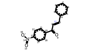 O=C(/C=C/c1ccccc1)c1ccc([N+](=O)[O-])cc1